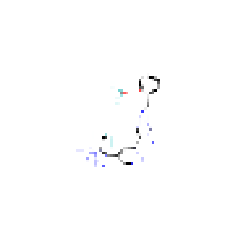 FC(F)(F)Oc1ccccc1CCn1cnc(-c2cc(-c3nn[nH]c3C(F)(F)F)ccn2)c1